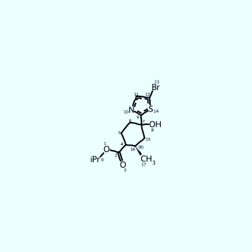 CC(C)OC(=O)C1CCC(O)(c2ncc(Br)s2)C[C@H]1C